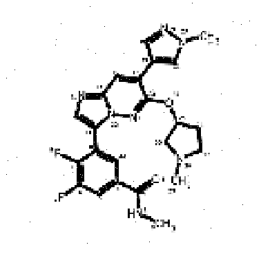 CNC(=O)c1cc(F)c(F)c(-c2cnc3cc(-c4cnn(C)c4)c(O[C@H]4CCN(C)C4)nn23)c1